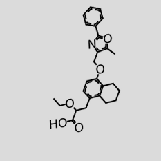 CCOC(Cc1ccc(OCc2nc(-c3ccccc3)oc2C)c2c1CCCC2)C(=O)O